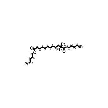 CCC(CC)(CCCCCCCCCC(=O)OCCCCC(C)C)C(=O)OCCCCC(C)C